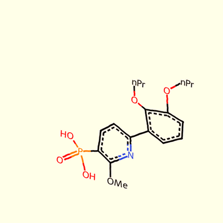 CCCOc1cccc(-c2ccc(P(=O)(O)O)c(OC)n2)c1OCCC